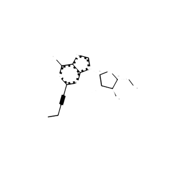 CCC#Cc1nc(N)c2ncn([C@@H]3O[C@H](CO)[C@@H](O)[C@@H]3O)c2n1